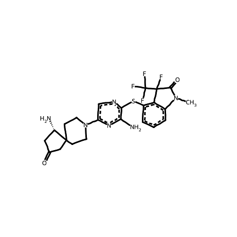 CN1C(=O)C(F)(C(F)(F)F)c2c(Sc3ncc(N4CCC5(CC4)CC(=O)C[C@@H]5N)nc3N)cccc21